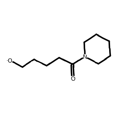 [O]CCCCC(=O)N1CCCCC1